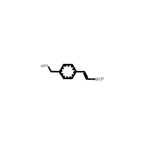 CCCCCCCCCc1ccc(C=CS(=O)(=O)O)cc1